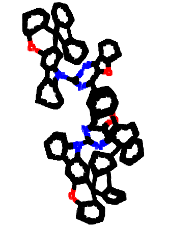 c1ccc(-c2nc(-n3c4ccccc4c4cc5c(cc43)C3(c4ccccc4O5)c4ccccc4-c4cc(-c5cccc(-c6ccc(-c7nc(-n8c9ccccc9c9cc%10c(cc98)C8(c9ccccc9O%10)c9ccccc9-c9ccccc98)nc8c7oc7ccccc78)cc6)c5)ccc43)nc3c2oc2ccccc23)cc1